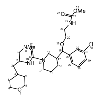 CNCC(CC1CCOCC1)NC(=O)N1CCCC(C(OCCNC(=O)OC)c2cccc(Cl)c2)C1